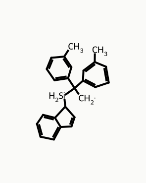 [CH2]C([SiH2]C1C=Cc2ccccc21)(c1cccc(C)c1)c1cccc(C)c1